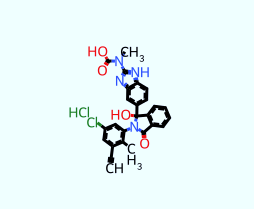 C#Cc1cc(Cl)cc(N2C(=O)c3ccccc3C2(O)c2ccc3[nH]c(N(C)C(=O)O)nc3c2)c1C.Cl